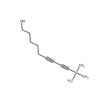 C[Si](C)(C)C#CC#CCCCCCO